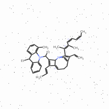 C=Cc1c2cn(c1/C(C)=C(C)/C=C\C=C/C)C1C(C(CC)N3c4ccccc4C(CC)c4cccc(C)c43)=C(C=CC)/C1=C/CC2